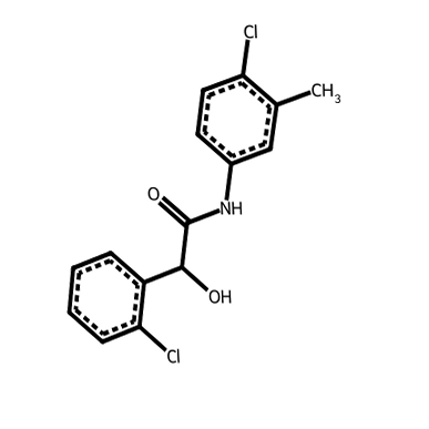 Cc1cc(NC(=O)C(O)c2ccccc2Cl)ccc1Cl